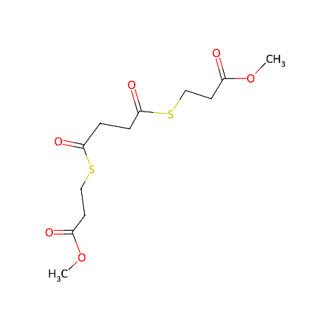 COC(=O)CCSC(=O)CCC(=O)SCCC(=O)OC